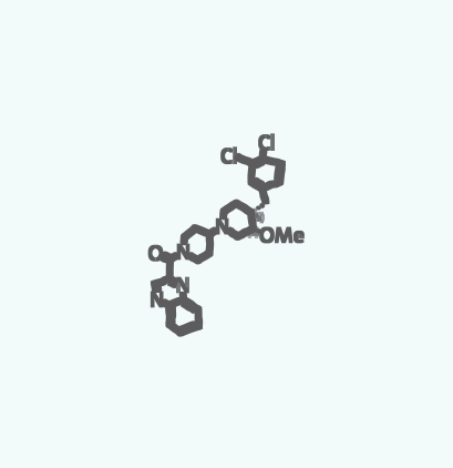 CO[C@@H]1CN(C2CCN(C(=O)c3cnc4ccccc4n3)CC2)CC[C@@H]1Cc1ccc(Cl)c(Cl)c1